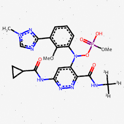 [2H]C([2H])([2H])NC(=O)c1nnc(NC(=O)C2CC2)cc1N(OP(=O)(O)OC)c1cccc(-c2ncn(C)n2)c1OC